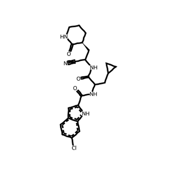 N#CC(C[C@@H]1CCCNC1=O)NC(=O)C(CC1CC1)NC(=O)c1cc2ccc(Cl)cc2[nH]1